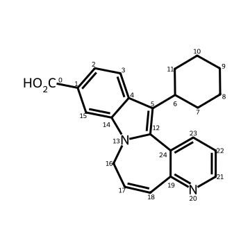 O=C(O)c1ccc2c(C3CCCCC3)c3n(c2c1)CC=Cc1ncccc1-3